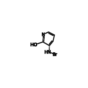 Oc1ncccc1NBr